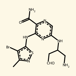 Cc1nsc(Nc2nc(NC(CN)CC=O)cnc2C(N)=O)c1Br